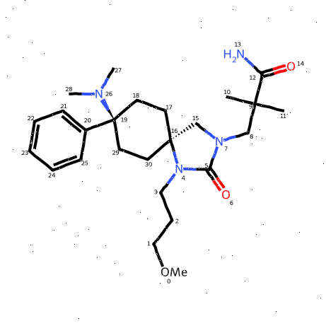 COCCCN1C(=O)N(CC(C)(C)C(N)=O)C[C@]12CC[C@](c1ccccc1)(N(C)C)CC2